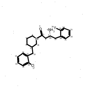 N[C@@H](CC(=O)N1CCCC(Cc2ccccc2Cl)C1)Cc1ccccc1F